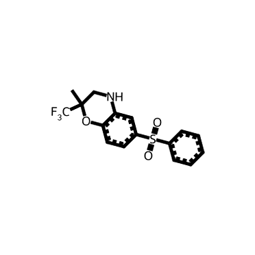 CC1(C(F)(F)F)CNc2cc(S(=O)(=O)c3ccccc3)ccc2O1